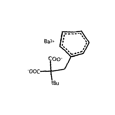 CC(C)(C)C(Cc1ccccc1)(C(=O)[O-])C(=O)[O-].[Ba+2]